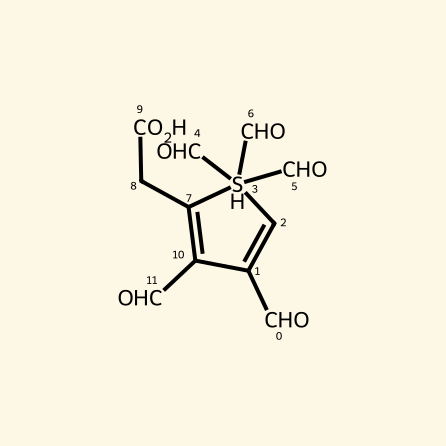 O=CC1=C[SH](C=O)(C=O)(C=O)C(CC(=O)O)=C1C=O